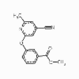 COC(=O)c1cccc(Oc2cc(C#N)cc(C)n2)c1